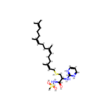 CC(C)=CCCC(C)=CCCC(C)=CCCC(C)=CCSCC(Nc1ncccn1)C(=O)NS(C)(=O)=O